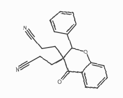 N#CCCC1(CCC#N)C(=O)c2ccccc2OC1c1ccccc1